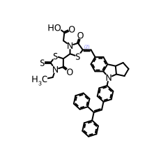 CCN1C(=O)C(C2S/C(=C\c3ccc4c(c3)C3CCCC3N4c3ccc(C=C(c4ccccc4)c4ccccc4)cc3)C(=O)N2CC(=O)O)SC1=S